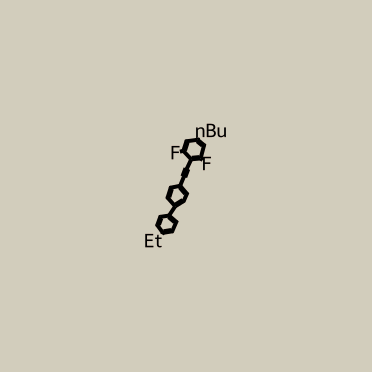 CCCCc1cc(F)c(C#Cc2ccc(-c3ccc(CC)cc3)cc2)c(F)c1